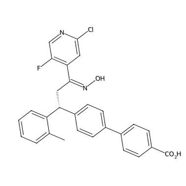 Cc1ccccc1[C@H](CC(=NO)c1cc(Cl)ncc1F)c1ccc(-c2ccc(C(=O)O)cc2)cc1